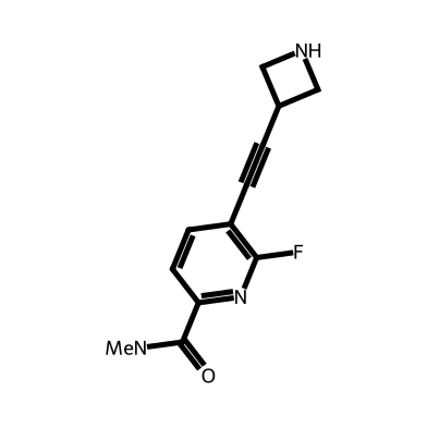 CNC(=O)c1ccc(C#CC2CNC2)c(F)n1